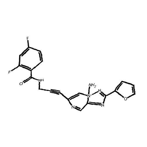 N[N+]12C=C(C#CCNC(=O)c3ccc(F)cc3F)N=CC1=NC(c1ccco1)=N2